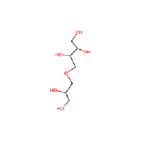 OCC(O)COCC(O)C(O)CO